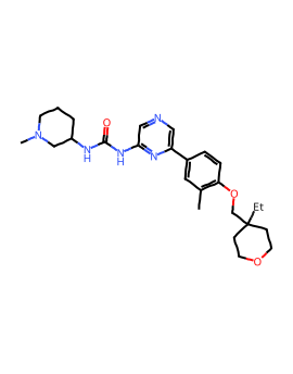 CCC1(COc2ccc(-c3cncc(NC(=O)NC4CCCN(C)C4)n3)cc2C)CCOCC1